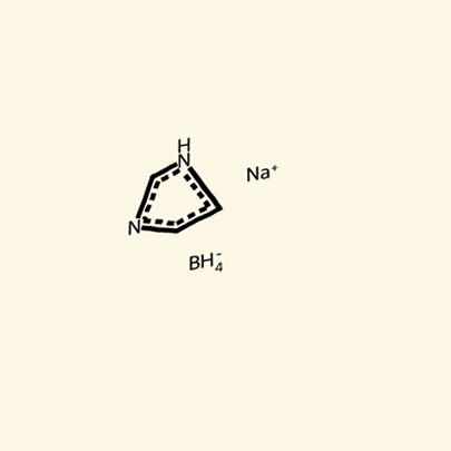 [BH4-].[Na+].c1c[nH]cn1